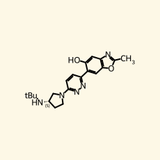 Cc1nc2cc(O)c(-c3ccc(N4CC[C@H](NC(C)(C)C)C4)nn3)cc2o1